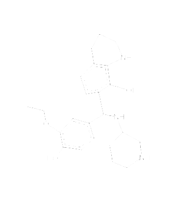 CCOc1cc(C(NC2CCCNC2)c2ccc3c(c2O)NCCC3)ccc1O